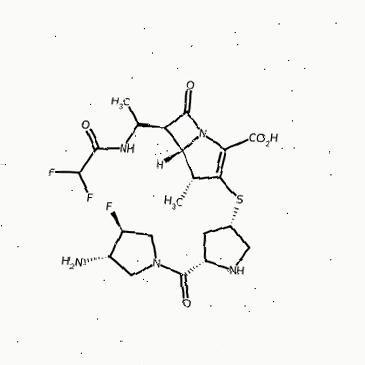 CC(NC(=O)C(F)F)[C@H]1C(=O)N2C(C(=O)O)=C(S[C@@H]3CN[C@H](C(=O)N4C[C@H](N)[C@@H](F)C4)C3)[C@H](C)[C@H]12